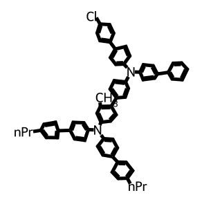 CCCc1ccc(-c2ccc(N(c3ccc(-c4ccc(CCC)cc4)cc3)c3ccc(-c4ccc(N(c5ccc(-c6ccccc6)cc5)c5ccc(-c6ccc(Cl)cc6)cc5)cc4)c(C)c3)cc2)cc1